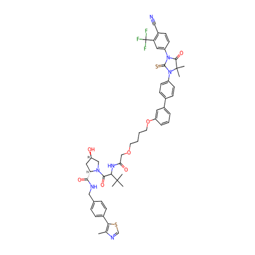 Cc1ncsc1-c1ccc(CNC(=O)[C@@H]2C[C@@H](O)CN2C(=O)C(NC(=O)COCCCCOc2cccc(-c3ccc(N4C(=S)N(c5ccc(C#N)c(C(F)(F)F)c5)C(=O)C4(C)C)cc3)c2)C(C)(C)C)cc1